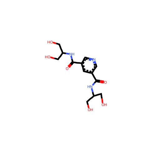 O=C(NC(CO)CO)c1cncc(C(=O)NC(CO)CO)c1